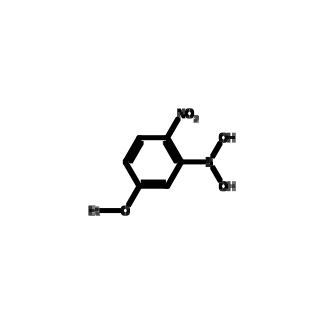 CCOc1ccc([N+](=O)[O-])c(B(O)O)c1